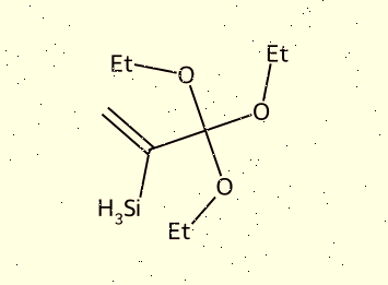 C=C([SiH3])C(OCC)(OCC)OCC